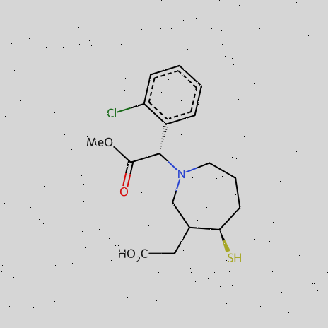 COC(=O)[C@H](c1ccccc1Cl)N1CCC[C@@H](S)C(CC(=O)O)C1